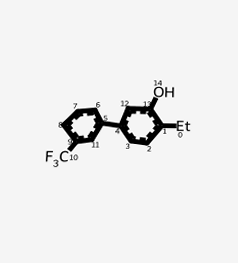 CCc1ccc(-c2cccc(C(F)(F)F)c2)cc1O